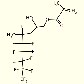 C=C(C)C(=O)OCC(O)CC(C)(F)C(F)(F)C(F)(F)C(F)(F)C(F)(F)C(F)(F)F